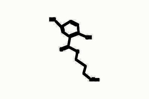 CCCCCCCCCCCCOC(=O)c1cc(O)ccc1O